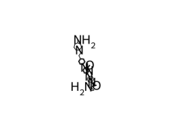 NC1CCCN(CCc2ccc(-n3ccc(N4CCN(C(=O)C5(N)CC5)CC4)nc3=O)cc2)CC1